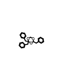 c1ccc(CC2OCOC(Cc3ccccc3)(Cc3ccccc3)O2)cc1